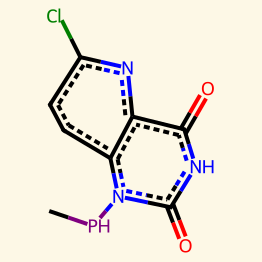 CPn1c(=O)[nH]c(=O)c2nc(Cl)ccc21